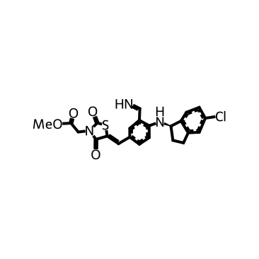 COC(=O)CN1C(=O)S/C(=C\c2ccc(N[C@@H]3CCc4cc(Cl)ccc43)c(C=N)c2)C1=O